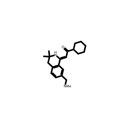 CNCc1ccc2c(c1)/C(=C/C(=O)C1CCCCC1)NC(C)(C)C2